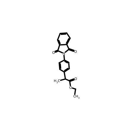 CCOC(=O)C(C)c1ccc(N2C(=O)c3ccccc3C2=O)cc1